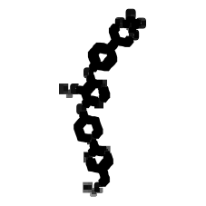 CCc1cnc(N2CCC(Oc3ncnc(Oc4ccc(C5COS(=O)(=O)OC5)cc4)c3C)CC2)nc1